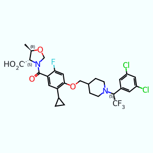 C[C@H]1OCN(C(=O)c2cc(C3CC3)c(OCC3CCN([C@@H](c4cc(Cl)cc(Cl)c4)C(F)(F)F)CC3)cc2F)[C@@H]1C(=O)O